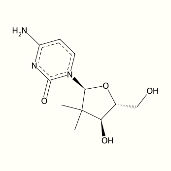 CC1(C)[C@H](O)[C@@H](CO)O[C@@H]1n1ccc(N)nc1=O